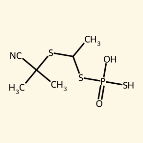 CC(SC(C)(C)C#N)SP(=O)(O)S